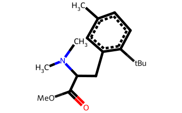 COC(=O)C(Cc1cc(C)ccc1C(C)(C)C)N(C)C